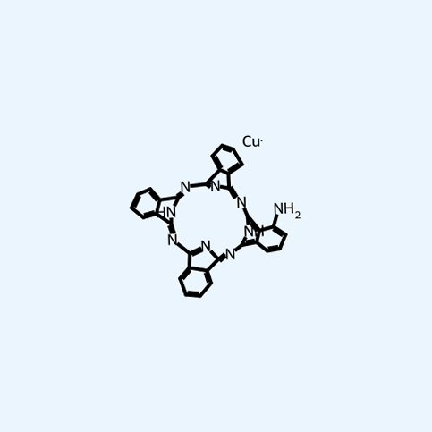 Nc1cccc2c3nc4nc(nc5[nH]c(nc6nc(nc([nH]3)c12)-c1ccccc1-6)c1ccccc51)-c1ccccc1-4.[Cu]